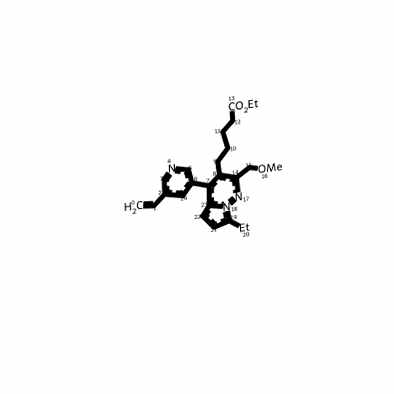 C=Cc1cncc(-c2c(CCCCC(=O)OCC)c(COC)nn3c(CC)ccc23)c1